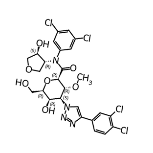 CO[C@@H]1[C@@H](n2cc(-c3ccc(Cl)c(Cl)c3)nn2)[C@@H](O)[C@@H](CO)O[C@H]1C(=O)N(c1cc(Cl)cc(Cl)c1)[C@@H]1COC[C@H]1O